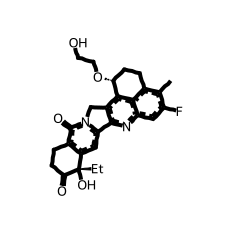 CC[C@@]1(O)C(=O)CCc2c1cc1n(c2=O)Cc2c-1nc1cc(F)c(C)c3c1c2[C@H](OCCO)CC3